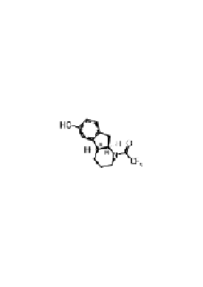 O=C(N1CCC[C@H]2c3cc(O)ccc3C[C@H]21)C(F)(F)F